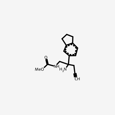 C#CCC(N)(CNC(=O)OC)c1ccc2c(c1)CCC2